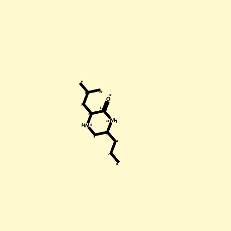 CCCC1CNC(CC(C)C)C(=O)N1